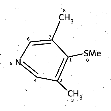 CSc1c(C)cncc1C